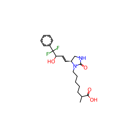 CC(CCCCCN1C(=O)NC[C@@H]1C=CC(O)C(F)(F)c1ccccc1)C(=O)O